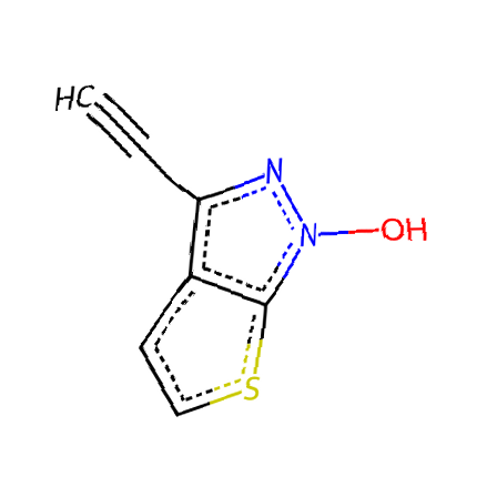 C#Cc1nn(O)c2sccc12